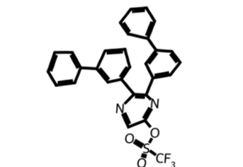 O=S(=O)(Oc1cnc(-c2cccc(-c3ccccc3)c2)c(-c2cccc(-c3ccccc3)c2)n1)C(F)(F)F